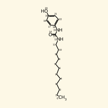 CCCCCCCCCCCCNC(=O)Nc1ccc(O)cc1